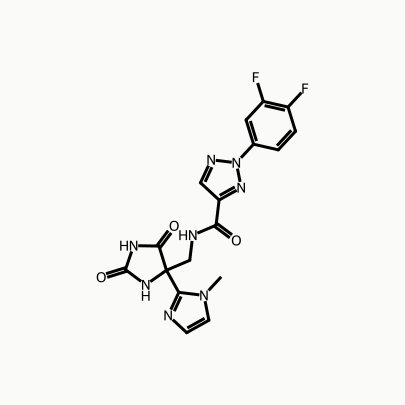 Cn1ccnc1C1(CNC(=O)c2cnn(-c3ccc(F)c(F)c3)n2)NC(=O)NC1=O